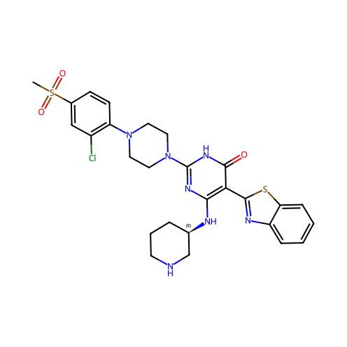 CS(=O)(=O)c1ccc(N2CCN(c3nc(N[C@@H]4CCCNC4)c(-c4nc5ccccc5s4)c(=O)[nH]3)CC2)c(Cl)c1